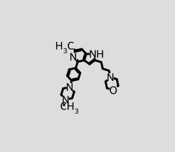 Cc1cc2[nH]c(CCCN3CCOCC3)cc2c(-c2ccc(N3CCN(C)CC3)cc2)n1